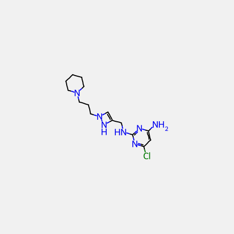 Nc1cc(Cl)nc(NCc2cn(CCCN3CCCCC3)[nH]2)n1